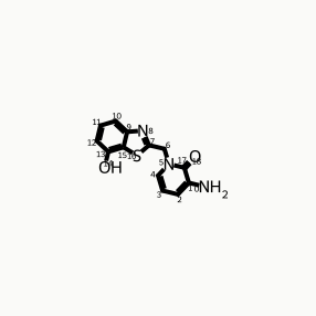 Nc1cccn(Cc2nc3cccc(O)c3s2)c1=O